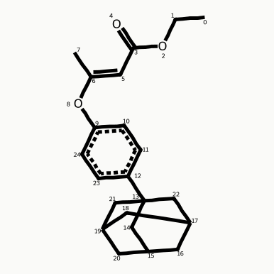 CCOC(=O)C=C(C)Oc1ccc(C23CC4CC(CC(C4)C2)C3)cc1